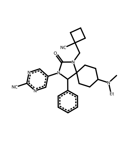 CCN(C)C1CCC2(CC1)C(c1ccccc1)N(c1cnc(C#N)nc1)C(=O)N2CC1(C#N)CCC1